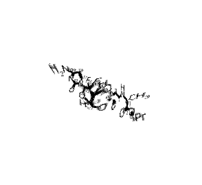 CC(C)OC(=O)[C@@H](C)NCCP1(=O)OC[C@H]2O[C@@H](n3ccc(N)nc3=O)C(F)(F)[C@@H]2O1